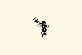 CN(C)C(C)(C)CNC(=O)c1cccn2c(=O)c3cc4c(cc3nc12)OC(F)(F)O4